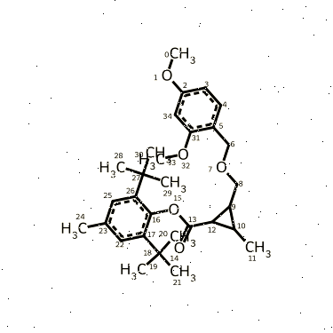 COc1ccc(COCC2C(C)C2C(=O)Oc2c(C(C)(C)C)cc(C)cc2C(C)(C)C)c(OC)c1